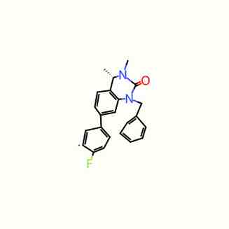 C[C@H]1c2ccc(-c3c[c]c(F)cc3)cc2N(Cc2ccccc2)C(=O)N1C